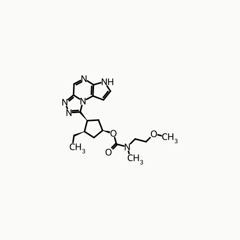 CC[C@@H]1C[C@H](OC(=O)N(C)CCOC)C[C@@H]1c1nnc2cnc3[nH]ccc3n12